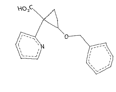 O=C(O)C1(c2ccccn2)CC1OCc1ccccc1